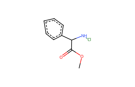 COC(=O)C(NCl)c1ccccc1